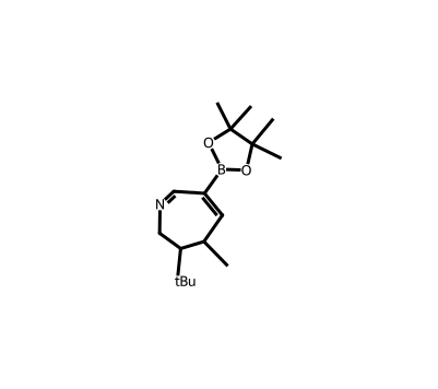 CC1C=C(B2OC(C)(C)C(C)(C)O2)C=NCC1C(C)(C)C